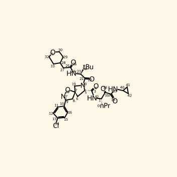 CCC[C@H](NC(=O)[C@@H]1C[C@]2(CC(c3ccc(Cl)cc3)=NO2)CN1C(=O)[C@@H](NC(=O)CC1CCOCC1)C(C)(C)C)C(=O)C(=O)NC1CC1